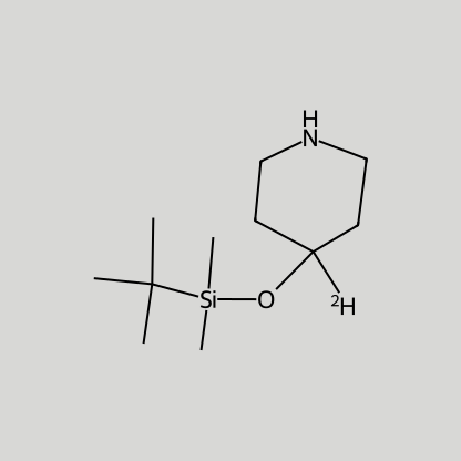 [2H]C1(O[Si](C)(C)C(C)(C)C)CCNCC1